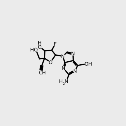 C#CC1(CO)OC(n2cnc3c(O)nc(N)nc32)C(F)C1O